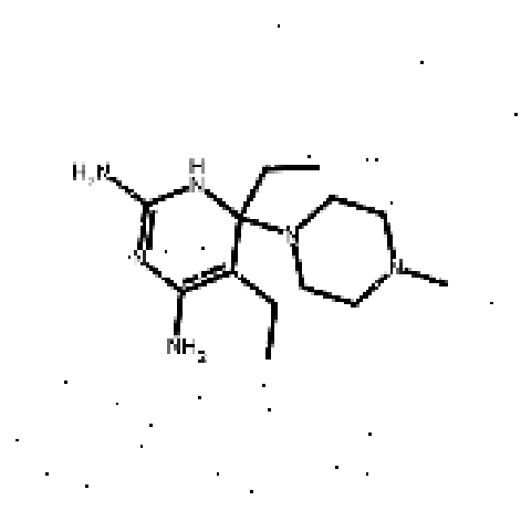 CCC1=C(N)N=C(N)NC1(CC)N1CCN(C)CC1